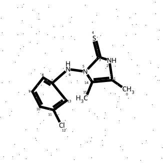 Cc1[nH]c(=S)n(Nc2cccc(Cl)c2)c1C